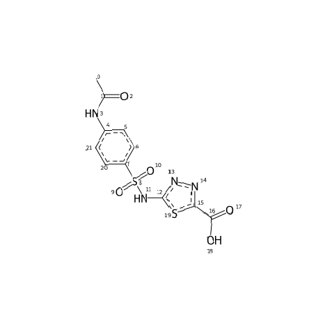 CC(=O)Nc1ccc(S(=O)(=O)Nc2nnc(C(=O)O)s2)cc1